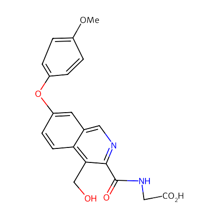 COc1ccc(Oc2ccc3c(CO)c(C(=O)NCC(=O)O)ncc3c2)cc1